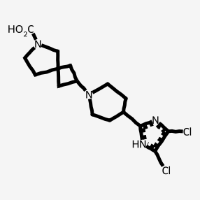 O=C(O)N1CCC2(CC(N3CCC(c4nc(Cl)c(Cl)[nH]4)CC3)C2)C1